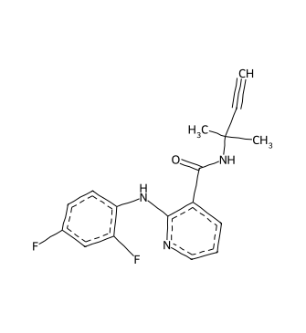 C#CC(C)(C)NC(=O)c1cccnc1Nc1ccc(F)cc1F